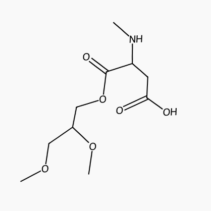 CNC(CC(=O)O)C(=O)OCC(COC)OC